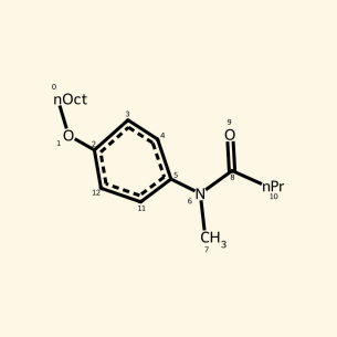 CCCCCCCCOc1ccc(N(C)C(=O)CCC)cc1